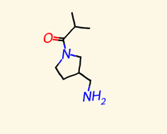 CC(C)C(=O)N1CCC(CN)C1